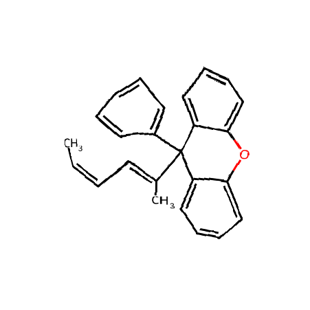 C/C=C\C=C(/C)C1(c2ccccc2)c2ccccc2Oc2ccccc21